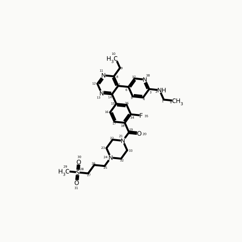 CCNc1ccc(-c2c(CC)ncnc2-c2ccc(C(=O)N3CCN(CCCS(C)(=O)=O)CC3)c(F)c2)cn1